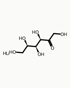 O=C(CO)[C@H](O)[C@@H](O)[C@H](O)CO.[LiH]